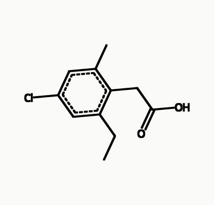 CCc1cc(Cl)cc(C)c1CC(=O)O